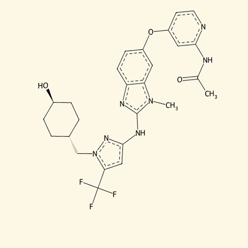 CC(=O)Nc1cc(Oc2ccc3nc(Nc4cc(C(F)(F)F)n(C[C@H]5CC[C@H](O)CC5)n4)n(C)c3c2)ccn1